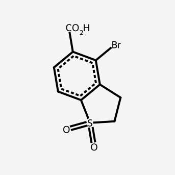 O=C(O)c1ccc2c(c1Br)CCS2(=O)=O